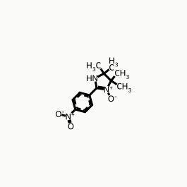 CC1(C)NC(c2ccc([N+](=O)[O-])cc2)=[N+]([O-])C1(C)C